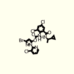 CC(NC(=O)c1cc(Cl)cc(Cl)c1NC(=O)Oc1cc(Br)nn1-c1ncccc1Cl)C1CC1